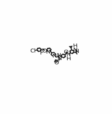 Cc1n[nH]c2c(C3CC3)cc(NC(=O)c3ccc4c(c3)nc(CN3CCC(c5cccc(OCc6ccc(Cl)cc6F)n5)CC3)n4C[C@@H]3CCO3)cc12